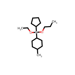 CCCO[Si](OCC)(C1CCCC1)C1CCC(C)CC1